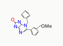 COCc1cccc(C2=CN=C3[N]C(=O)N=C3N2Cc2ccccc2)c1